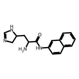 NC(CC1CN=CN1)C(=O)Nc1ccc2ccccc2c1